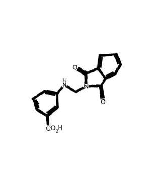 O=C(O)c1cccc(NCN2C(=O)c3ccccc3C2=O)c1